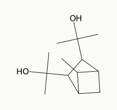 CC1C2CC1C(C(C)(C)O)C2C(C)(C)O